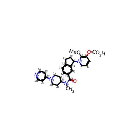 COC1=C(OC(=O)O)C=CCN1[C@@H]1CCc2ccc(C(=O)N(C)C3CCN(c4ccncc4)CC3)cc21